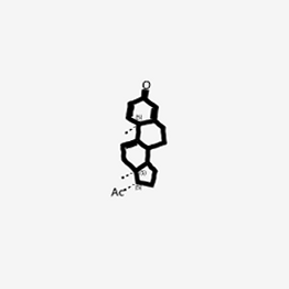 CC(=O)[C@H]1CCC2C3CCC4=CC(=O)C=C[C@]4(C)C3=CC[C@@]21C